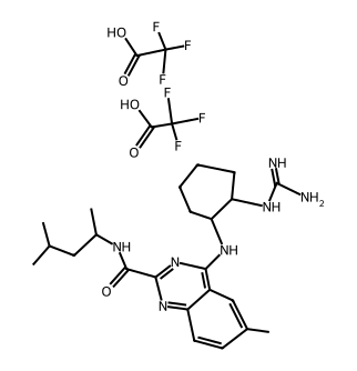 Cc1ccc2nc(C(=O)NC(C)CC(C)C)nc(NC3CCCCC3NC(=N)N)c2c1.O=C(O)C(F)(F)F.O=C(O)C(F)(F)F